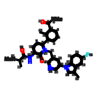 CNC(=O)c1cccc(-c2ccc(NC(=O)C(C)NC)c(=O)n2Cc2cncc(-n3cc(C)c4cc(F)ccc43)c2)c1C